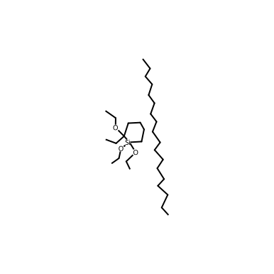 CCCCCCCCCCCCCCCCCC.CCOC1(CC)CCCC[Si]1(OCC)OCC